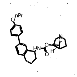 CCCOc1ccc(-c2ccc3c(c2)C(NC(=O)O[C@H]2CN4CCC2CC4)CCC3)cc1